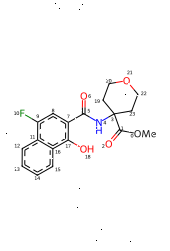 COC(=O)C1(NC(=O)c2cc(F)c3ccccc3c2O)CCOCC1